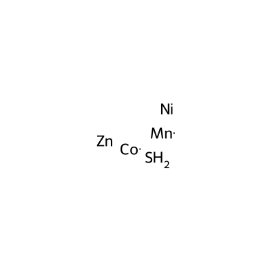 S.[Co].[Mn].[Ni].[Zn]